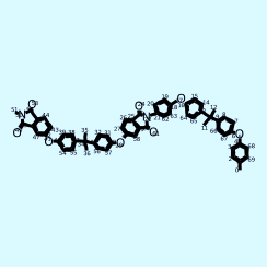 Cc1ccc(Oc2ccc(C(C)(C)c3ccc(Oc4ccc(N5C(=O)c6ccc(Oc7ccc(C(C)(C)c8ccc(Oc9ccc%10c(c9)C(=O)N(C)C%10=O)cc8)cc7)cc6C5=O)cc4)cc3)cc2)cc1